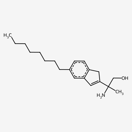 CCCCCCCCc1ccc2c(c1)C=C(C(C)(N)CO)C2